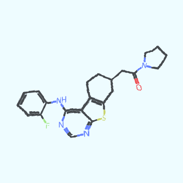 O=C(CC1CCc2c(sc3ncnc(Nc4ccccc4F)c23)C1)N1CCCC1